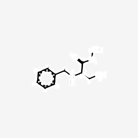 CC(C)(C)OC(=O)[C@@H](CO)NCc1ccccc1